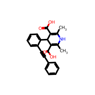 CC1=C(C(=O)O)C(c2ccccc2C#Cc2ccccc2)C(C(=O)O)=C(C)N1